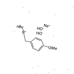 CCCC[B+]Cc1ccc(OC)cc1.[Na+].[OH-].[OH-]